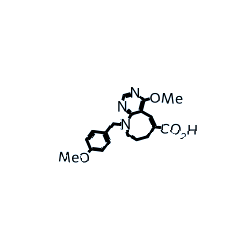 COc1ccc(CN2CCCC(C(=O)O)=Cc3c(OC)ncnc32)cc1